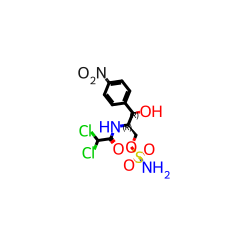 NS(=O)(=O)OC[C@@H](NC(=O)C(Cl)Cl)[C@H](O)c1ccc([N+](=O)[O-])cc1